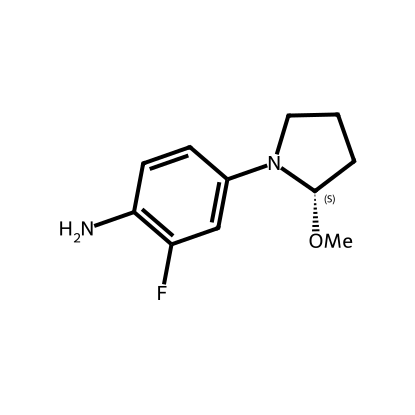 CO[C@H]1CCCN1c1ccc(N)c(F)c1